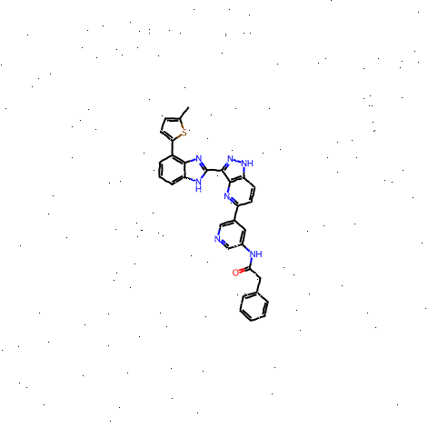 Cc1ccc(-c2cccc3[nH]c(-c4n[nH]c5ccc(-c6cncc(NC(=O)Cc7ccccc7)c6)nc45)nc23)s1